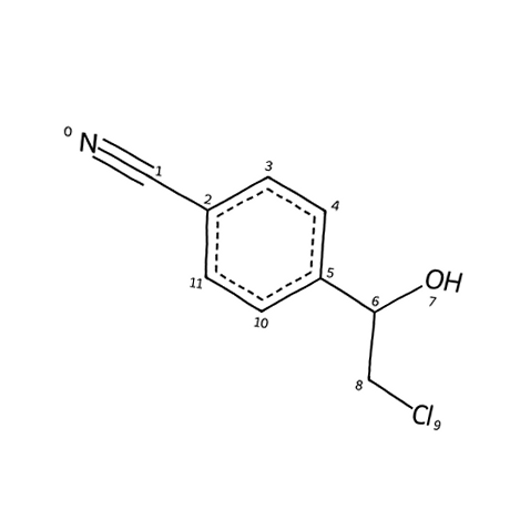 N#Cc1ccc(C(O)CCl)cc1